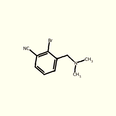 CN(C)Cc1cccc(C#N)c1Br